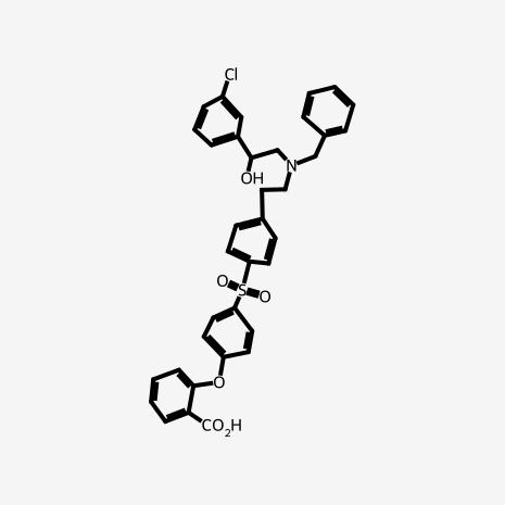 O=C(O)c1ccccc1Oc1ccc(S(=O)(=O)c2ccc(CCN(Cc3ccccc3)CC(O)c3cccc(Cl)c3)cc2)cc1